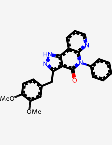 COc1ccc(Cc2n[nH]c3c2c(=O)n(-c2ccccc2)c2ncccc32)cc1OC